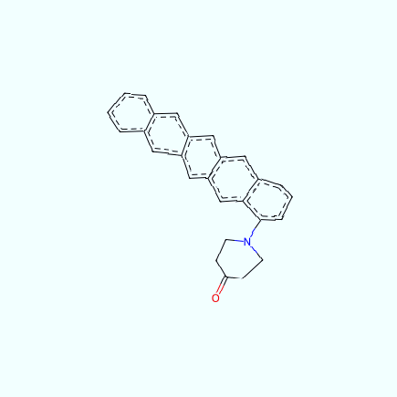 O=C1CCN(c2cccc3cc4cc5cc6ccccc6cc5cc4cc23)CC1